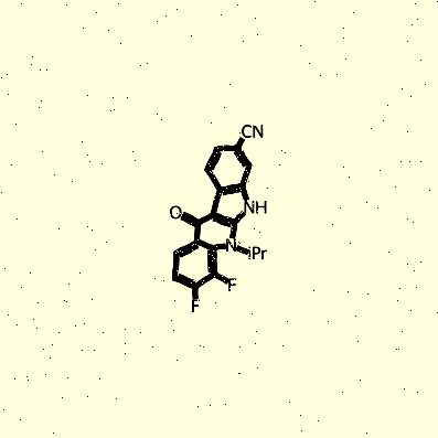 CC(C)n1c2[nH]c3cc(C#N)ccc3c2c(=O)c2ccc(F)c(F)c21